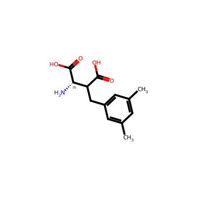 Cc1cc(C)cc(CC(C(=O)O)[C@H](N)C(=O)O)c1